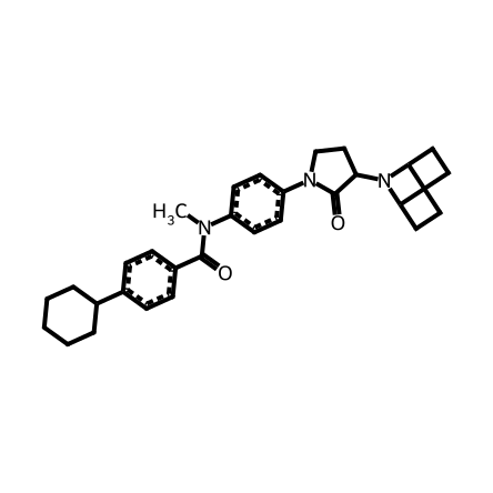 CN(C(=O)c1ccc(C2CCCCC2)cc1)c1ccc(N2CCC(N3C4CCC45CCC35)C2=O)cc1